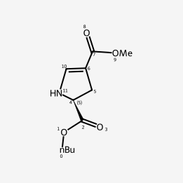 CCCCOC(=O)[C@@H]1CC(C(=O)OC)=CN1